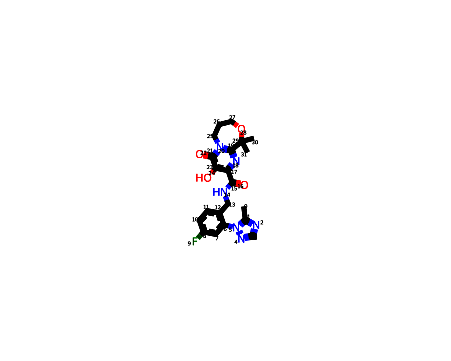 Cc1ncnn1-c1cc(F)ccc1CNC(=O)c1nc2n(c(=O)c1O)CCCOC2(C)C